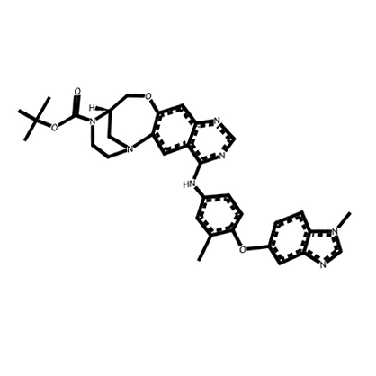 Cc1cc(Nc2ncnc3cc4c(cc23)N2CCN(C(=O)OC(C)(C)C)[C@H](CO4)C2)ccc1Oc1ccc2c(c1)ncn2C